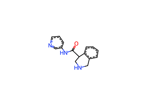 O=C(Nc1cccnc1)C1CNCc2ccccc21